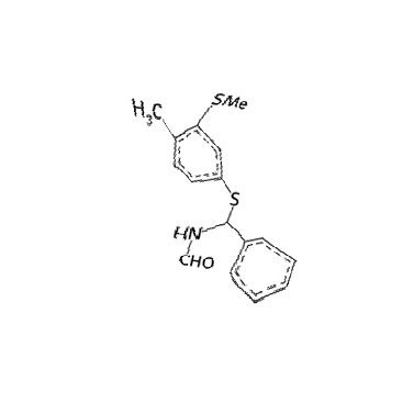 CSc1cc(SC(NC=O)c2ccccc2)ccc1C